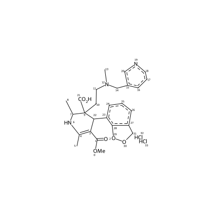 COC(=O)C1=C(C)NC(C)C(CCN(C)Cc2cccnc2)(C(=O)O)C1c1cccc2c1OOC2.Cl.Cl